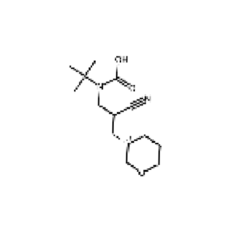 CC(C)(C)N(CC(C#N)C[C@@H]1CCCOC1)C(=O)O